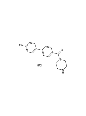 Cl.O=C(c1ccc(-c2cc[n+]([O-])cc2)cc1)N1CCNCC1